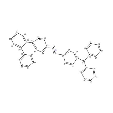 C(=C\c1ccc(N(c2ccccc2)c2ccccc2)cc1)/c1ccc(-c2ccccc2-c2ccccc2)cc1